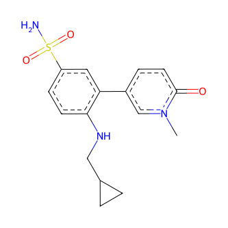 Cn1cc(-c2cc(S(N)(=O)=O)ccc2NCC2CC2)ccc1=O